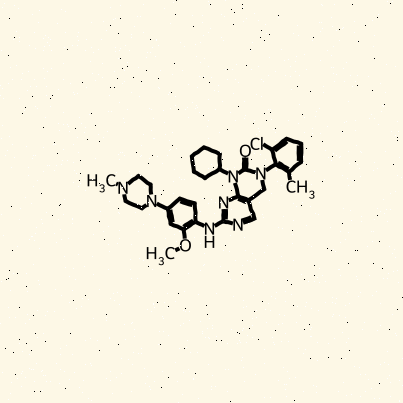 COc1cc(N2CCN(C)CC2)ccc1Nc1ncc2c(n1)N(C1CCCCC1)C(=O)N(c1c(C)cccc1Cl)C2